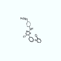 CC(=O)NC1CCC(Nc2ncc(Cl)c(-c3cccc(-n4ccccc4=O)c3)n2)CC1